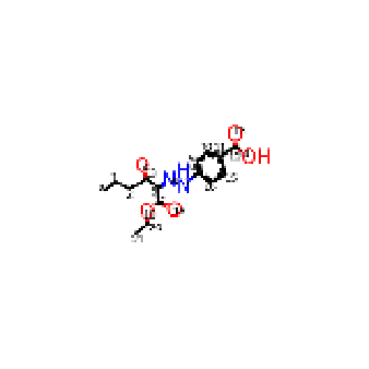 CCCC(=O)/C(=N/Nc1ccc(C(=O)O)cc1)C(=O)OCC